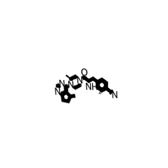 CC1CCc2ncnc(N3CCN(C(=O)[C@H](N)Cc4ccc(C#N)cc4)C[C@@H]3C)c21